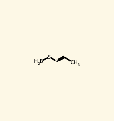 BSP=CC